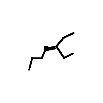 CCCN=C(CC)CC